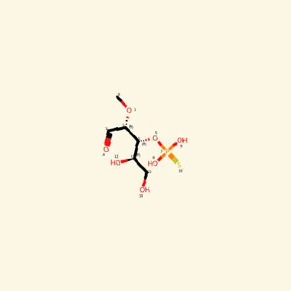 CO[C@@H](C=O)[C@H](OP(O)(O)=S)[C@H](O)CO